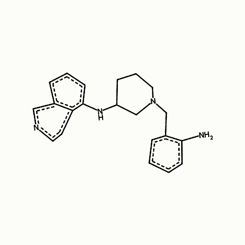 Nc1ccccc1CN1CCCC(Nc2cccc3cnccc23)C1